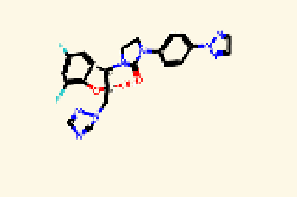 C[C@@H](N1CCN(c2ccc(-n3nccn3)cc2)C1=O)[C@@](O)(Cn1cncn1)Oc1ccc(F)cc1F